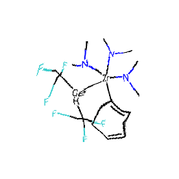 C[N](C)[Zr]([C]1=CC=CC1)([N](C)C)([N](C)C)[GeH]([C](F)(F)F)[C](F)(F)F